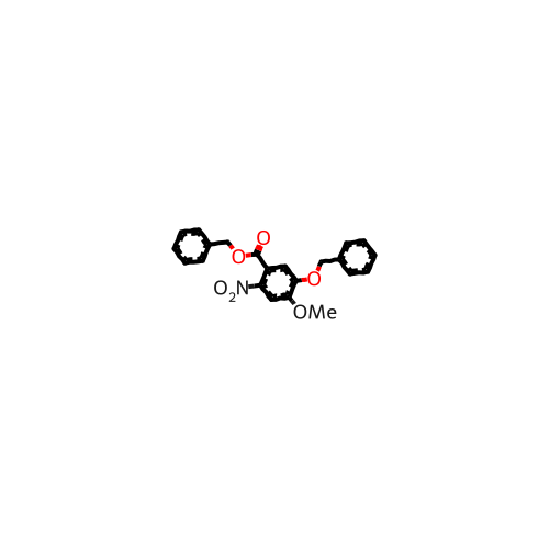 COc1cc([N+](=O)[O-])c(C(=O)OCc2ccccc2)cc1OCc1ccccc1